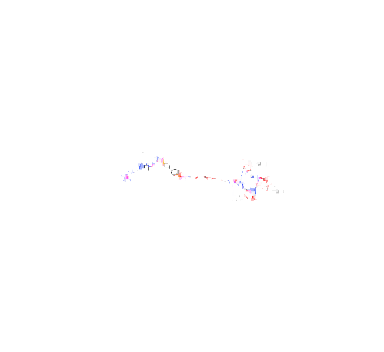 CC(C)(C)OC(=O)CN1CCN(CC(=O)NCCCOCCOCCOCCCNS(=O)(=O)c2ccc(-c3ccc(S(=O)(=O)NC(CNC(=O)c4ccc5c(cnn5CCCNc5ncc[nH]5)c4)C(=O)O)cc3)cc2)CCN(CC(=O)OC(C)(C)C)CCN(CC(=O)OC(C)(C)C)CC1